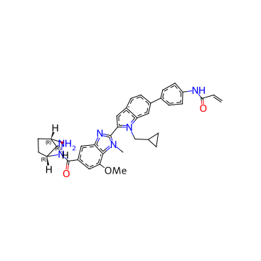 C=CC(=O)Nc1ccc(-c2ccc3cc(-c4nc5cc(C(=O)N6C[C@H]7CC[C@@H]6[C@@H]7N)cc(OC)c5n4C)n(CC4CC4)c3c2)cc1